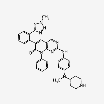 CN(c1ccc(Nc2ncc3cc(-c4ccccc4-c4nnn(C)n4)c(=O)n(-c4ccccc4)c3n2)cc1)C1CCNCC1